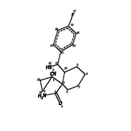 N#CC1(C2(C(N)=O)CCCCC2C(S)c2ccc(F)cc2)CC1